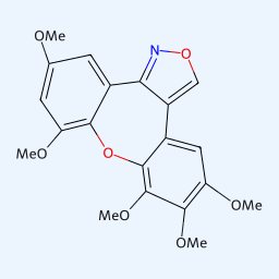 COc1cc(OC)c2c(c1)-c1nocc1-c1cc(OC)c(OC)c(OC)c1O2